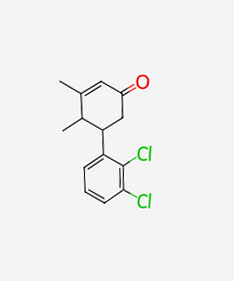 CC1=CC(=O)CC(c2cccc(Cl)c2Cl)C1C